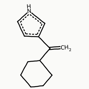 C=C(c1cc[nH]c1)C1CCCCC1